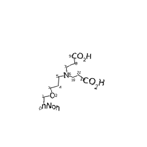 CCCCCCCCCCOCCCN(CCC(=O)O)CCC(=O)O